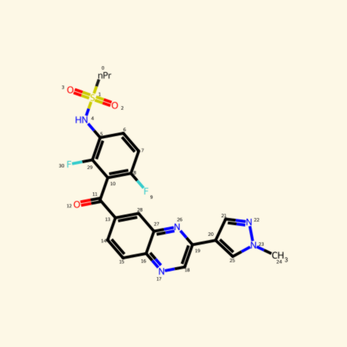 CCCS(=O)(=O)Nc1ccc(F)c(C(=O)c2ccc3ncc(-c4cnn(C)c4)nc3c2)c1F